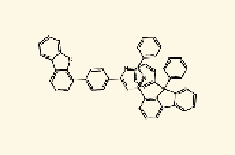 c1ccc(-c2nc(-c3ccc(-c4cccc5c4oc4ccccc45)cc3)nc(-c3cccc4c3C(c3ccccc3)(c3ccccc3)c3ccccc3-4)n2)cc1